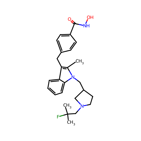 Cc1c(Cc2ccc(C(=O)NO)cc2)c2ccccc2n1CC1CCN(CC(C)(C)F)C1